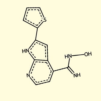 N=C(NO)c1ccnc2[nH]c(-c3cccs3)cc12